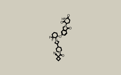 N#CC1(C(=O)N2CCC(C3CN([C@@H]4[C@@H](Oc5ccc6c(c5)CN(C5CCC(=O)NC5=O)C6=O)CCCC4(F)F)C3)CC2)CCC1